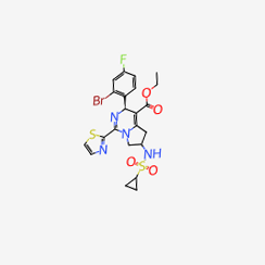 CCOC(=O)C1=C2CC(NS(=O)(=O)C3CC3)CN2C(c2nccs2)=N[C@H]1c1ccc(F)cc1Br